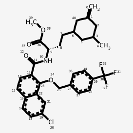 C=C1CC(C)CC(CC[C@H](NC(=O)c2ccc3ccc(Cl)cc3c2OCc2ccc(C(F)(F)F)cc2)C(=O)OC)C1